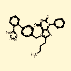 CCCCc1nc2c(c(=O)[nH]c(=O)n2-c2ccccc2)n1Cc1ccc(-c2ccccc2-c2nnn[nH]2)cc1